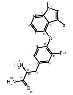 Cc1c[nH]c2nccc(Oc3ccc(C[C@H](N)C(N)=O)cc3F)c12